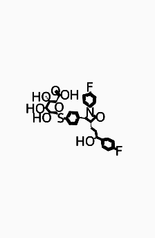 O=C(O)[C@H]1O[C@@H](Sc2ccc([C@@H]3[C@@H](CC[C@H](O)c4ccc(F)cc4)C(=O)N3c3ccc(F)cc3)cc2)[C@H](O)[C@@H](O)[C@@H]1O